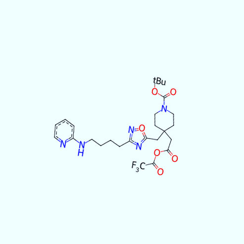 CC(C)(C)OC(=O)N1CCC(CC(=O)OC(=O)C(F)(F)F)(Cc2nc(CCCCNc3ccccn3)no2)CC1